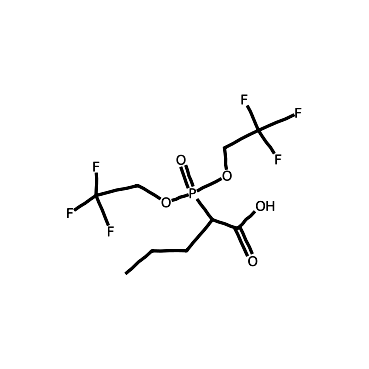 CCCC(C(=O)O)P(=O)(OCC(F)(F)F)OCC(F)(F)F